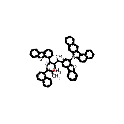 C=C(C)C(/N=C(/c1cccc2c1sc1ccccc12)C(CC)C(C)c1cc(-n2c3cc4ccccc4cc3c3c4ccccc4ccc32)c2oc3ccccc3c2c1)c1cccc2ccccc12